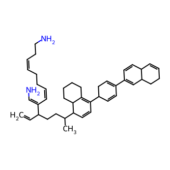 C=CC(CCC(C)C1C=CC(C2C=CC(C3=CC4CCC=CC4C=C3)=CC2)=C2CCCCC21)C(/C=C\CC/C=C\CCN)=C/N